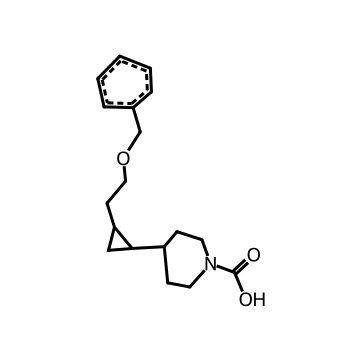 O=C(O)N1CCC(C2CC2CCOCc2ccccc2)CC1